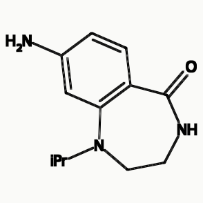 CC(C)N1CCNC(=O)c2ccc(N)cc21